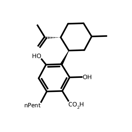 C=C(C)[C@@H]1CCC(C)C[C@H]1c1c(O)cc(CCCCC)c(C(=O)O)c1O